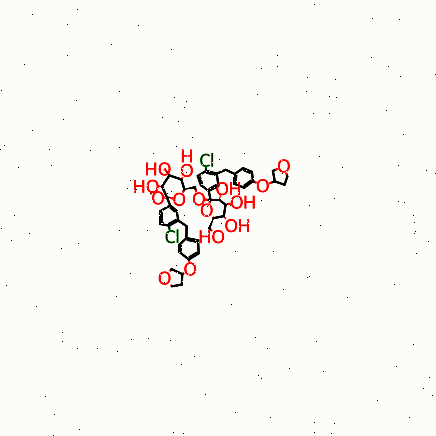 COC1(c2ccc(Cl)c(Cc3ccc(OC4CCOC4)cc3)c2)O[C@H](COC2(c3ccc(Cl)c(Cc4ccc(OC5CCOC5)cc4)c3)O[C@H](CO)[C@@H](O)[C@H](O)[C@H]2O)[C@@H](O)[C@H](O)[C@H]1O